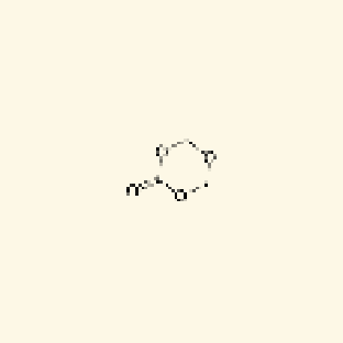 O=C1OCOCO1